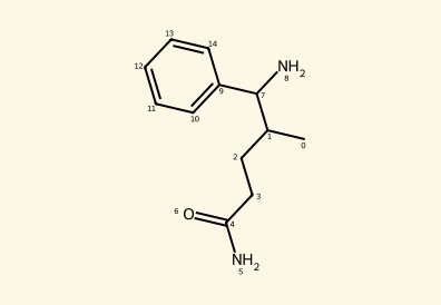 CC(CCC(N)=O)C(N)c1ccccc1